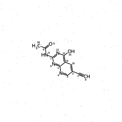 C#Cc1cnc2nc(NC(C)=O)nc(O)c2c1